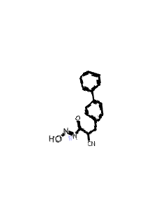 N#CC(Cc1ccc(-c2ccccc2)cc1)C(=O)/N=N/O